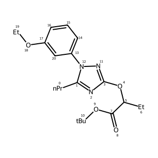 CCCc1nc(OC(CC)C(=O)OC(C)(C)C)nn1-c1cccc(OCC)c1